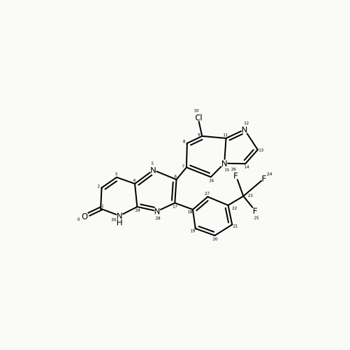 O=c1ccc2nc(-c3cc(Cl)c4nccn4c3)c(-c3cccc(C(F)(F)F)c3)nc2[nH]1